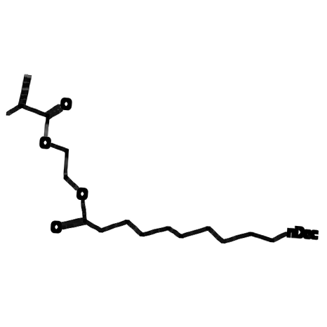 C=C(C)C(=O)OCCOC(=O)CCCCCCCCCCCCCCCCCCC